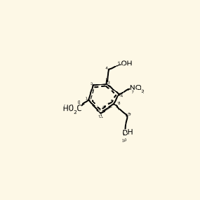 O=C(O)c1cc(CO)c([N+](=O)[O-])c(CO)c1